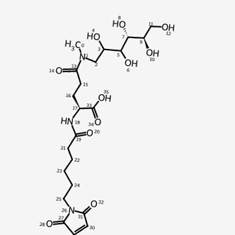 CN(CC(O)C(O)[C@H](O)[C@H](O)CO)C(=O)CC[C@H](NC(=O)CCCCCN1C(=O)C=CC1=O)C(=O)O